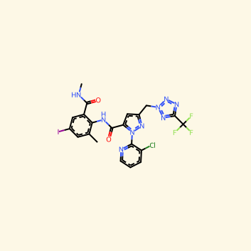 CNC(=O)c1cc(I)cc(C)c1NC(=O)c1cc(Cn2nnc(C(F)(F)F)n2)nn1-c1ncccc1Cl